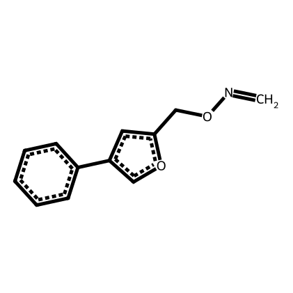 C=NOCc1cc(-c2ccccc2)co1